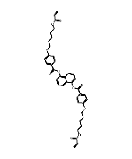 C=CC(=O)OCCCCCOc1ccc(C(=O)Oc2cccc3c(OC(=O)c4ccc(OCCCCCOC(=O)C=C)cc4)cccc23)cc1